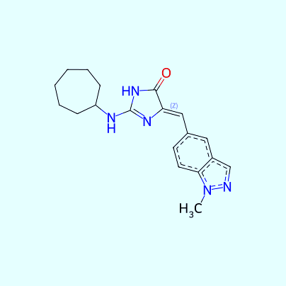 Cn1ncc2cc(/C=C3\N=C(NC4CCCCCC4)NC3=O)ccc21